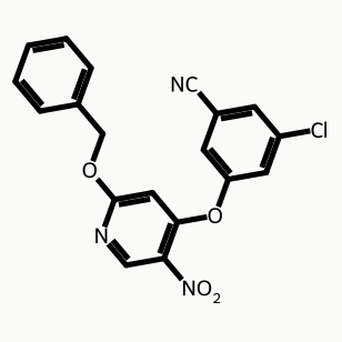 N#Cc1cc(Cl)cc(Oc2cc(OCc3ccccc3)ncc2[N+](=O)[O-])c1